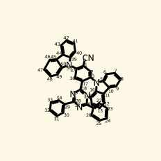 N#Cc1cc(-n2c3ccccc3c3ccccc32)c(-c2nc(-c3ccccc3)nc(-c3ccccc3)n2)cc1-n1c2ccccc2c2ccccc21